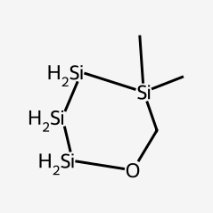 C[Si]1(C)CO[SiH2][SiH2][SiH2]1